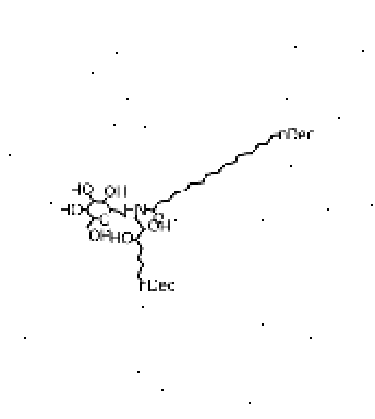 CCCCCCCCCCCCCCCCCCCCCCCCCC(=O)N[C@@H](CCC1OC(CO)C(O)C(O)C1O)[C@H](O)[C@H](O)CCCCCCCCCCCCCC